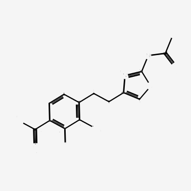 CC(=O)Nc1nc(CCc2ccc(C(=O)O)c(F)c2F)cs1